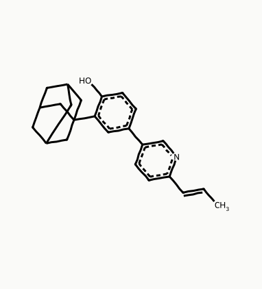 C/C=C/c1ccc(-c2ccc(O)c(C34CC5CC(CC(C5)C3)C4)c2)cn1